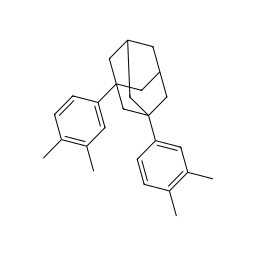 Cc1ccc(C23CC4CC(C2)CC(c2ccc(C)c(C)c2)(C4)C3)cc1C